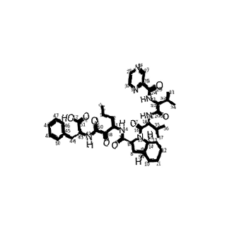 CCCC(NC(=O)[C@@H]1C[C@@H]2CCCC[C@@H]2N1C(=O)[C@@H](NC(=O)C(NC(=O)c1cnccn1)C(C)C)C(C)C)C(=O)C(=O)N[C@@H](Cc1ccccc1)C(=O)O